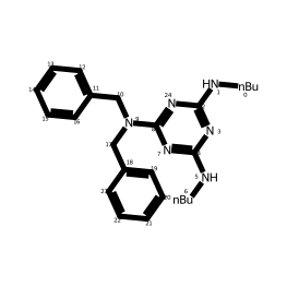 CCCCNc1nc(NCCCC)nc(N(Cc2ccccc2)Cc2ccccc2)n1